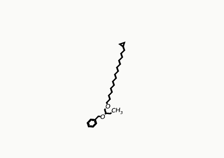 CCC(COCCCCCCCCCCCCCCCCC1CC1)OCc1ccccc1